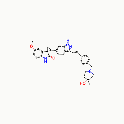 COc1ccc2c(c1)C1(CC1c1ccc3c(/C=C/c4ccc(CN5CCC(C)(O)CC5)cc4)n[nH]c3c1)C(=O)N2